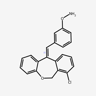 NOc1cccc(/C=C2/c3ccccc3OCc3c(Cl)cccc32)c1